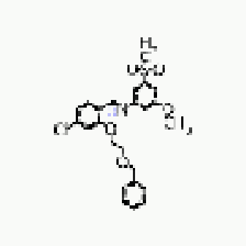 COc1cc(/N=C/c2ccc(Cl)cc2OCCOCc2ccccc2)cc(S(C)(=O)=O)c1